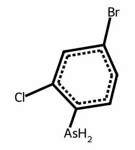 Clc1cc(Br)ccc1[AsH2]